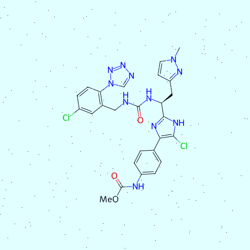 COC(=O)Nc1ccc(-c2nc([C@H](Cc3ccn(C)n3)NC(=O)NCc3cc(Cl)ccc3-n3cnnn3)[nH]c2Cl)cc1